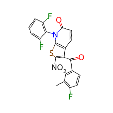 Cc1cc(C(=O)c2c([N+](=O)[O-])sc3c2ccc(=O)n3-c2c(F)cccc2F)ccc1F